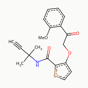 C#CC(C)(C)NC(=O)c1sccc1OCC(=O)c1ccccc1OC